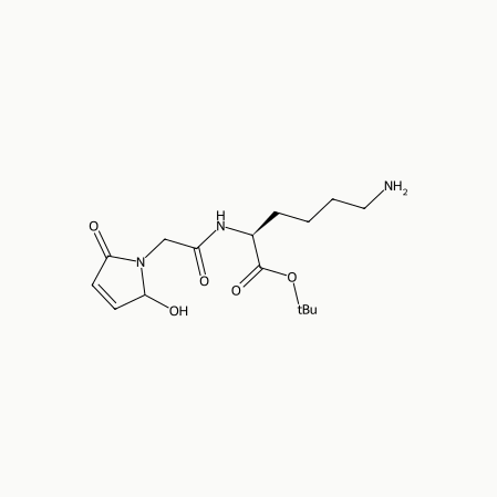 CC(C)(C)OC(=O)[C@H](CCCCN)NC(=O)CN1C(=O)C=CC1O